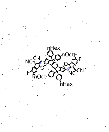 CCCCCCCCc1ccc(C2(c3ccc(CCCCCC)cc3)c3cc4c(cc3-c3sc(/C=C5\C(=O)c6cc(F)c(F)cc6C5=C(C#N)C#N)cc32)C(c2ccc(CCCCCC)cc2)(c2ccc(CCCCCCCC)cc2)c2cc(/C=C3\C(=O)c5cc(F)c(F)cc5C3=C(C#N)C#N)sc2-4)cc1